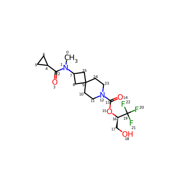 CN(C(=O)C1CC1)C1CC2(CCN(C(=O)O[C@H](CO)C(F)(F)F)CC2)C1